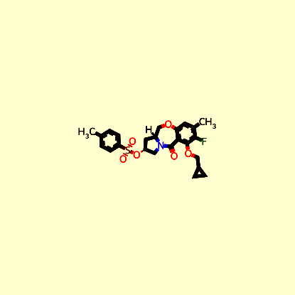 Cc1ccc(S(=O)(=O)O[C@@H]2C[C@@H]3COc4cc(C)c(F)c(OCC5CC5)c4C(=O)N3C2)cc1